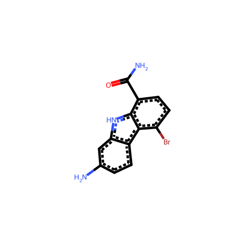 NC(=O)c1ccc(Br)c2c1[nH]c1cc(N)ccc12